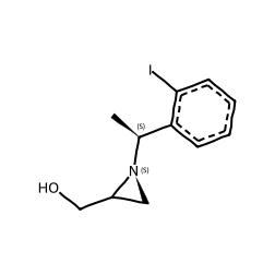 C[C@@H](c1ccccc1I)[N@@]1CC1CO